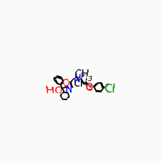 C[N+](C)(CCCOc1ccc(Cl)cc1)Cc1cnc(C(O)(c2ccccc2)C2CCCCC2)o1